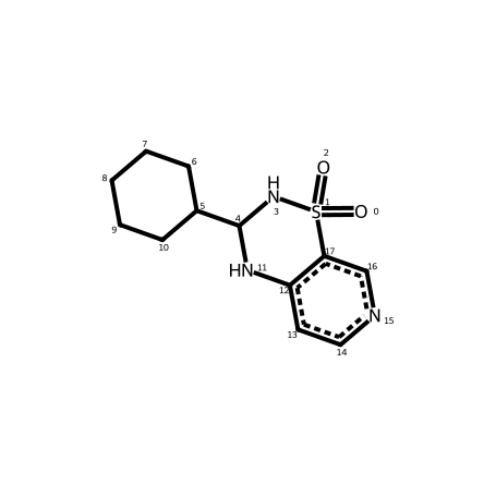 O=S1(=O)NC(C2CCCCC2)Nc2ccncc21